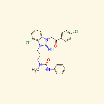 CN(CCCn1c(=N)n(CC(=O)c2ccc(Cl)cc2)c2cccc(Cl)c21)C(=O)Nc1ccccc1